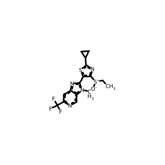 CC[S+]([O-])c1nc(C2CC2)sc1-c1nc2cc(C(F)(F)F)ncc2n1C